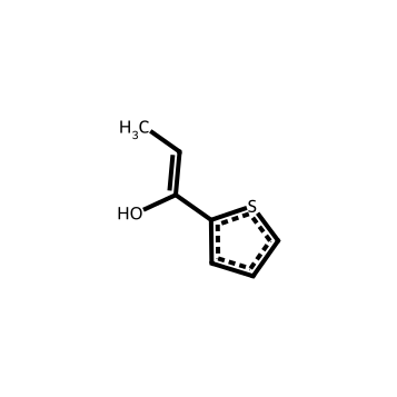 CC=C(O)c1cccs1